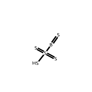 S=BS(=S)(=S)S